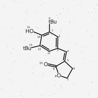 CC(C)(C)c1cc(C=C2CCOC2=O)cc(C(C)(C)C)c1O